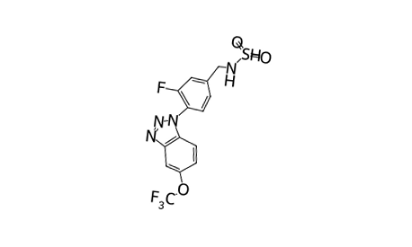 O=[SH](=O)NCc1ccc(-n2nnc3cc(OC(F)(F)F)ccc32)c(F)c1